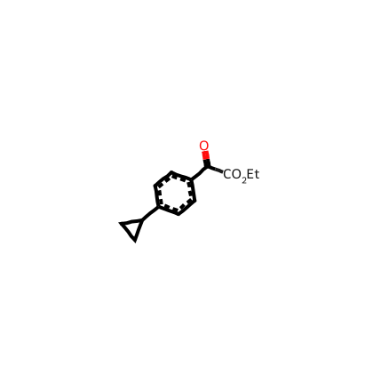 CCOC(=O)C(=O)c1ccc(C2CC2)cc1